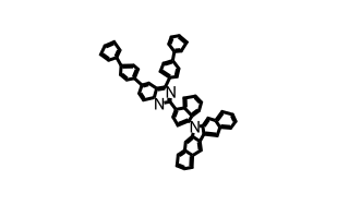 c1ccc(-c2ccc(-c3ccc4nc(-c5ccc(-n6c7cc8ccccc8cc7c7cc8ccccc8cc76)c6ccccc56)nc(-c5ccc(-c6ccccc6)cc5)c4c3)cc2)cc1